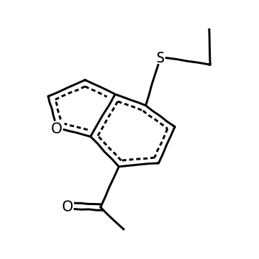 CCSc1ccc(C(C)=O)c2occc12